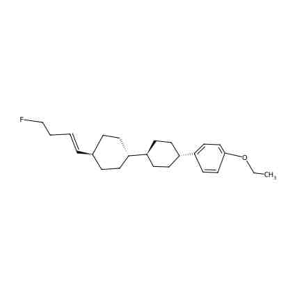 CCOc1ccc([C@H]2CC[C@H]([C@H]3CC[C@H](C=CCCF)CC3)CC2)cc1